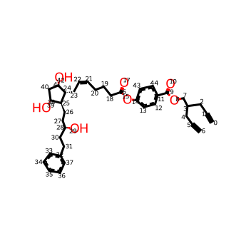 C#CCC(CC#C)COC(=O)c1ccc(OC(=O)CCC/C=C\C[C@@H]2[C@@H](CC[C@@H](O)CCc3ccccc3)[C@H](O)C[C@H]2O)cc1